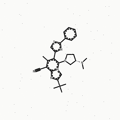 Cc1c(-c2csc(-c3ccccc3)n2)c(N2CC[C@H](N(C)C)C2)n2cc(C(C)(C)C)nc2c1C#N